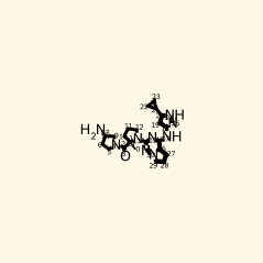 C[C@@]1(C(=O)N2CC[C@H](N)C2)CCCN1c1nc(Nc2cc(C3CC3)[nH]n2)c2cccn2n1